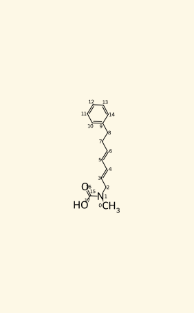 CN(CC=CC=CCCc1ccccc1)C(=O)O